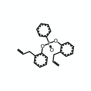 C=CCc1ccccc1OP(=O)(Oc1ccccc1CC=C)c1ccccc1